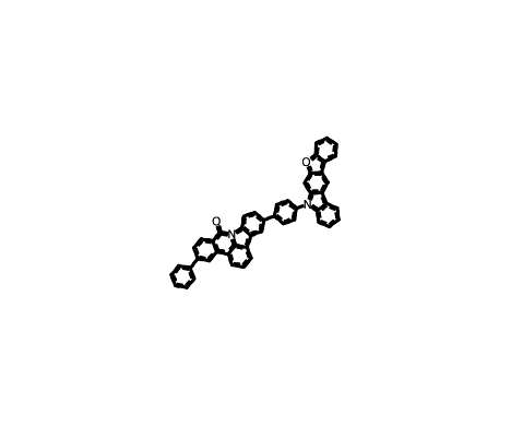 O=c1c2ccc(-c3ccccc3)cc2c2cccc3c4cc(-c5ccc(-n6c7ccccc7c7cc8c(cc76)oc6ccccc68)cc5)ccc4n1c23